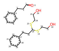 O=CCCc1ccccc1.OCCSC(CCc1ccccc1)SCCO